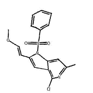 COC=Cc1cc2c(Cl)nc(C)cc2n1S(=O)(=O)c1ccccc1